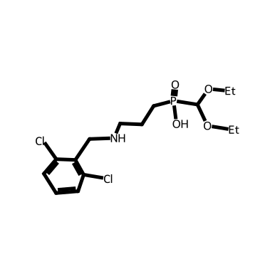 CCOC(OCC)P(=O)(O)CCCNCc1c(Cl)cccc1Cl